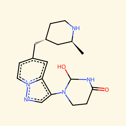 C[C@H]1C[C@H](Cc2ccn3ncc(N4CCC(=O)NC4O)c3c2)CCN1